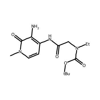 CCN(CC(=O)Nc1ccn(C)c(=O)c1N)C(=O)OC(C)(C)C